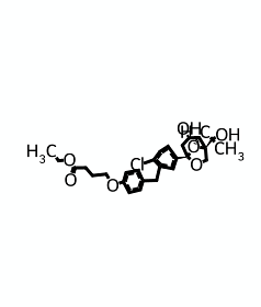 CCOC(=O)CCCOc1ccc(Cc2cc([C@]34C[C@@H](O)C[C@](C(C)(C)O)(CO3)O4)ccc2Cl)cc1